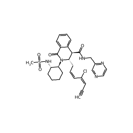 C#C/C=C(Cl)\C=C/C[C@H]1[C@H](C(=O)NCc2cnccn2)c2ccccc2C(=O)N1[C@H]1CCCC[C@@H]1NS(C)(=O)=O